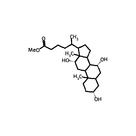 COC(=O)CCCC(C)C1CCC2C3C(C[C@H](O)C12C)C1(C)CC[C@@H](O)CC1C[C@H]3O